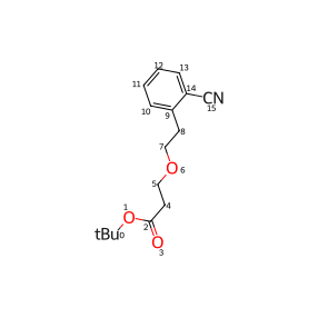 CC(C)(C)OC(=O)CCOCCc1ccccc1C#N